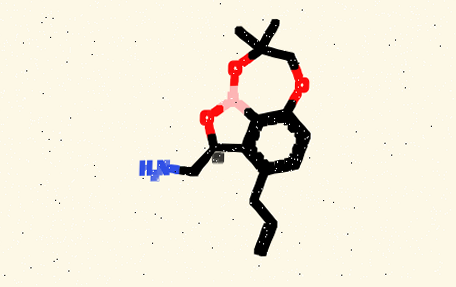 C=CCc1ccc2c3c1[C@@H](CN)OB3OC(C)(C)CO2